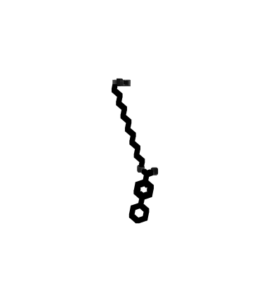 CCCCCCCCCCCCCCCCCCCCCCOC(=O)c1ccc(C2CCCCC2)cc1